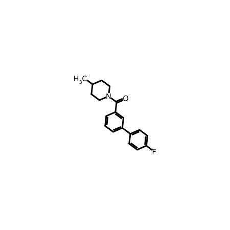 CC1CCN(C(=O)c2cccc(-c3ccc(F)cc3)c2)CC1